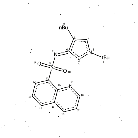 CCCCc1cn(C(C)(C)C)s/c1=N\S(=O)(=O)c1cccc2cccnc12